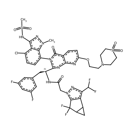 Cn1nc(NS(C)(=O)=O)c2c(Cl)ccc(-n3c([C@H](Cc4cc(F)cc(F)c4)NC(=O)Cn4nc(C(F)F)c5c4C(F)(F)C4CC54)nc4nc(OCCN5CCS(=O)(=O)CC5)ccc4c3=O)c21